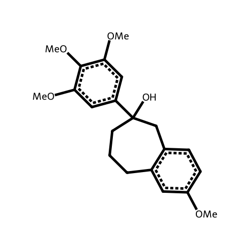 COc1ccc2c(c1)CCCC(O)(c1cc(OC)c(OC)c(OC)c1)C2